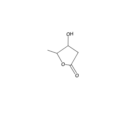 CC1OC(=O)CC1O